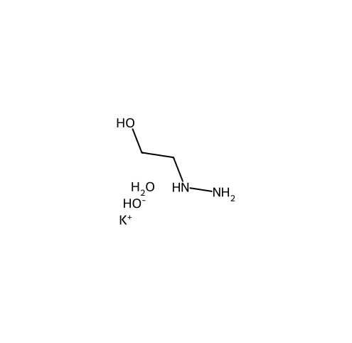 NNCCO.O.[K+].[OH-]